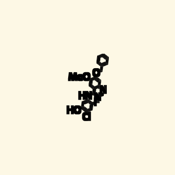 COc1cc2c(Nc3cc(O)c(Cl)cc3F)ncnc2cc1OCc1ccccc1